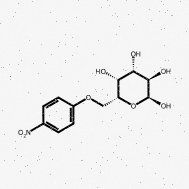 O=[N+]([O-])c1ccc(OC[C@H]2O[C@H](O)[C@H](O)[C@@H](O)[C@H]2O)cc1